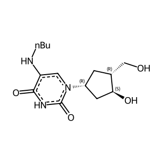 CCCCNc1cn([C@@H]2C[C@H](CO)[C@@H](O)C2)c(=O)[nH]c1=O